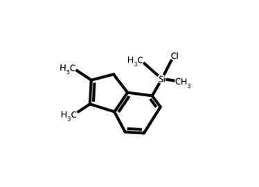 CC1=C(C)c2cccc([Si](C)(C)Cl)c2C1